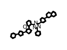 c1ccc(-c2ccc(-c3cccc4c3oc3cccc(-c5nc(-c6ccccc6)nc(-c6ccc(-c7ccc8ccccc8c7)cc6)n5)c34)cc2)cc1